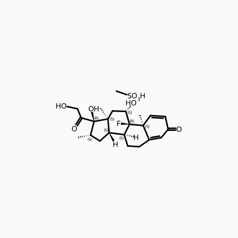 CS(=O)(=O)O.C[C@H]1C[C@H]2[C@@H]3CCC4=CC(=O)C=C[C@]4(C)[C@@]3(F)[C@@H](O)C[C@]2(C)[C@@]1(O)C(=O)CO